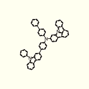 c1ccc(-c2ccc(N(c3ccc(-c4ccc5c6ccccc6n(-c6ccccc6)c5c4)cc3)c3ccc4c5cccc6c7ccccc7n(c4c3)c65)cc2)cc1